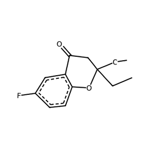 CCC1(CC)CC(=O)c2cc(F)ccc2O1